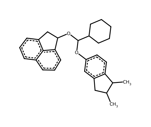 CC1Cc2cc(OC(OC3Cc4cccc5cccc3c45)C3CCCCC3)ccc2C1C